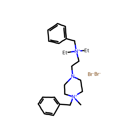 CC[N+](CC)(CCN1CC[N+](C)(Cc2ccccc2)CC1)Cc1ccccc1.[Br-].[Br-]